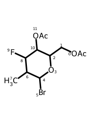 CC(=O)OCC1OC(Br)C(C)C(F)C1OC(C)=O